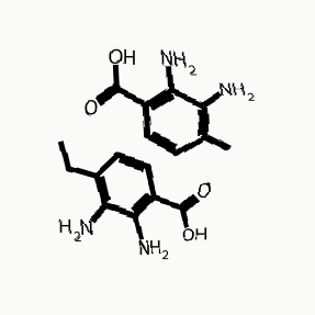 CCc1ccc(C(=O)O)c(N)c1N.Cc1ccc(C(=O)O)c(N)c1N